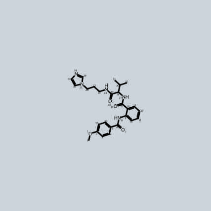 COc1ccc(C(=O)Nc2ccccc2C(=O)NC(C(=O)NCCCn2ccnc2)C(C)C)cc1